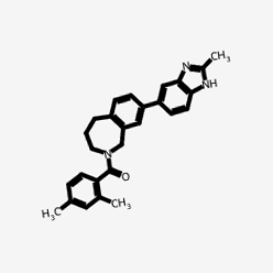 Cc1ccc(C(=O)N2CCCc3ccc(-c4ccc5[nH]c(C)nc5c4)cc3C2)c(C)c1